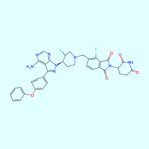 Nc1ncnc2c1c(-c1ccc(Oc3ccccc3)cc1)nn2[C@@H]1CCN(Cc2ccc3c(c2F)C(=O)N(C2CCC(=O)NC2=O)C3=O)C[C@@H]1F